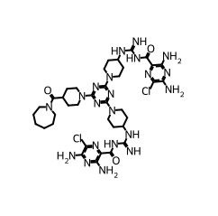 N=C(NC(=O)c1nc(Cl)c(N)nc1N)NC1CCN(c2nc(N3CCC(NC(=N)NC(=O)c4nc(Cl)c(N)nc4N)CC3)nc(N3CCC(C(=O)N4CCCCCC4)CC3)n2)CC1